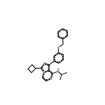 CC(C)Nc1nccn2c(C3CCC3)nc(-c3cccc(OCc4ccccc4)c3)c12